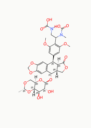 COc1cc([C@@H]2c3cc4c(cc3[C@@H](O[C@@H]3O[C@@H]5CO[C@@H](C)O[C@H]5[C@H](O)[C@H]3O)[C@H]3COC(=O)[C@H]23)OCO4)cc(OC)c1C(CN(C)C(=O)O)N(C)C(=O)O